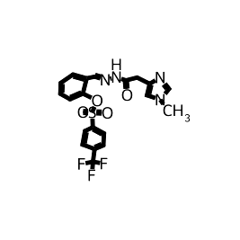 Cn1cnc(CC(=O)NN=Cc2ccccc2OS(=O)(=O)c2ccc(C(F)(F)F)cc2)c1